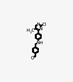 Cc1cnc(Cl)nc1-c1ccc(NCc2ccc(C=O)cc2)cc1